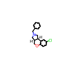 Clc1ccc2c(c1)[C@@H]1CN(Cc3ccccc3)C[C@@H]1CO2